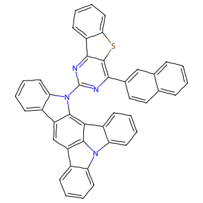 c1ccc2cc(-c3nc(-n4c5ccccc5c5cc6c7ccccc7n7c8ccccc8c(c54)c67)nc4c3sc3ccccc34)ccc2c1